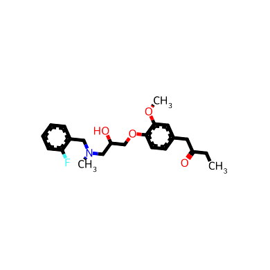 CCC(=O)Cc1ccc(OCC(O)CN(C)Cc2ccccc2F)c(OC)c1